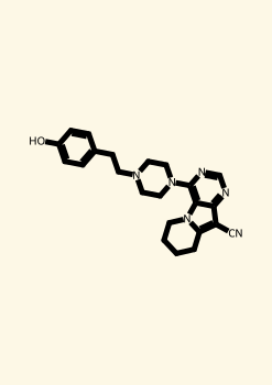 N#Cc1c2n(c3c(N4CCN(CCc5ccc(O)cc5)CC4)ncnc13)CCCC2